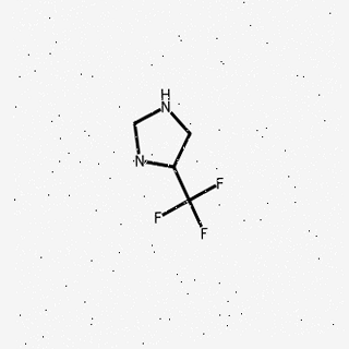 FC(F)(F)C1CNC[N]1